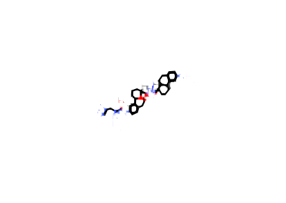 C[C@]1(C(=O)NC(=O)[C@@]2(C)CCC[C@]3(C)c4cc(NC(=O)[C@@H](N)Cc5c[nH]cn5)ccc4CC[C@@H]23)CCC[C@]2(C)c3cc(N)ccc3CC[C@@H]12